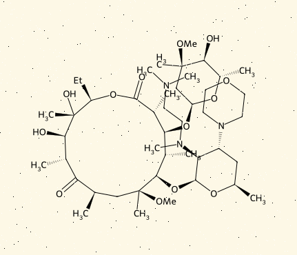 CC[C@H]1OC(=O)[C@H](C)[C@@H](O[C@H]2C[C@@](C)(OC)[C@@H](O)[C@H](C)O2)[C@H](C)[C@@H](O[C@@H]2O[C@H](C)C[C@@H](N3CCOCC3)[C@@H]2N(C)CCN(C)C)[C@@](C)(OC)C[C@@H](C)C(=O)[C@H](C)[C@@H](O)[C@]1(C)O